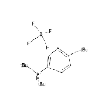 CC(C)(C)c1ccc([PH+](C(C)(C)C)C(C)(C)C)cc1.F[B-](F)(F)F